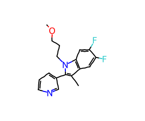 COCCCn1c(-c2cccnc2)c(C)c2cc(F)c(F)cc21